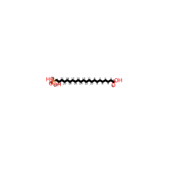 O=C(O)CCCCCCCCCCCCCCCCCCCCCP(=O)(O)O